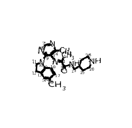 C/C(=N\c1c(C)ncnc1N1CCc2cc(C)ccc21)C(=O)NCC1CCNCC1